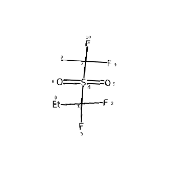 CCC(F)(F)S(=O)(=O)C(C)(F)F